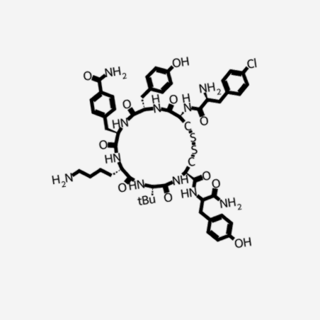 CC(C)(C)[C@@H]1NC(=O)[C@H](CCCCN)NC(=O)[C@@H](Cc2ccc(C(N)=O)cc2)NC(=O)[C@H](Cc2ccc(O)cc2)NC(=O)[C@H](NC(=O)[C@@H](N)Cc2ccc(Cl)cc2)CSSC[C@@H](C(=O)NC(Cc2ccc(O)cc2)C(N)=O)NC1=O